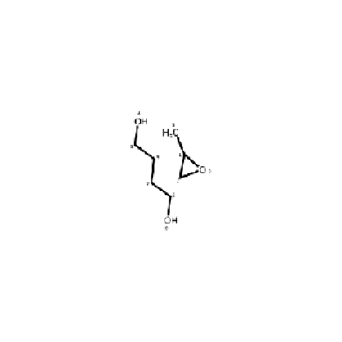 CC1CO1.OCCCCO